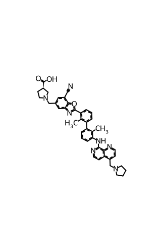 Cc1c(Nc2nccc3c(CN4CCCC4)ccnc23)cccc1-c1cccc(-c2nc3cc(CN4CC[C@@H](C(=O)O)C4)cc(C#N)c3o2)c1C